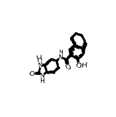 O=C1NC2=CC(NC(=O)c3cc4c(cc3O)=CCCC=4)CCC2N1